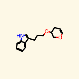 C1=COCC(OCCCc2c[nH]c3ccccc23)C1